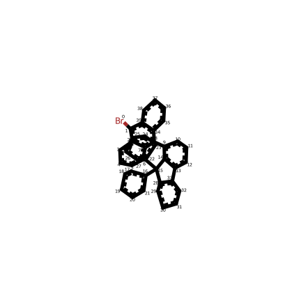 Brc1c2ccccc2c(-c2cccc3c2C(c2ccccc2)(c2ccccc2)c2ccccc2-3)c2ccccc12